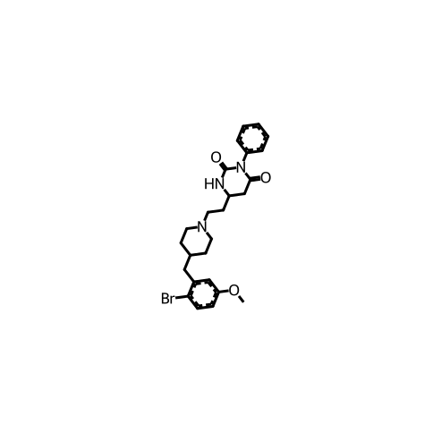 COc1ccc(Br)c(CC2CCN(CCC3CC(=O)N(c4ccccc4)C(=O)N3)CC2)c1